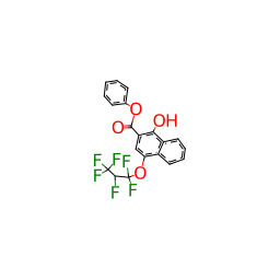 O=C(Oc1ccccc1)c1cc(OC(F)(F)C(F)C(F)(F)F)c2ccccc2c1O